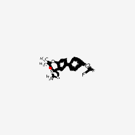 CC1(C)Oc2ccc(-c3ccc(OC(F)F)cc3)cc2C2(COC(N)=N2)C12COC2